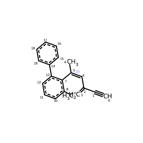 C#CC(=C)/C=C(/C)c1c(C)cccc1-c1ccccc1